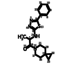 CC(Nc1nnc(-c2ccccc2)s1)C(=O)N1CCC2(CC1)CC2